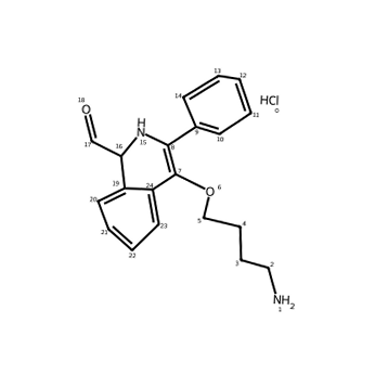 Cl.NCCCCOC1=C(c2ccccc2)NC(C=O)c2ccccc21